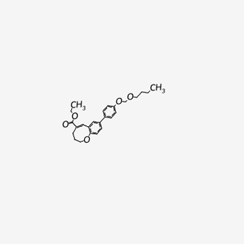 CCCCOCOc1ccc(-c2ccc3c(c2)C=C(C(=O)OCC)CCCO3)cc1